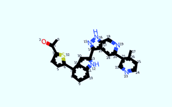 CC(=O)c1ccc(-c2cccc3[nH]c(-c4n[nH]c5cnc(-c6cnccc6C)cc45)cc23)s1